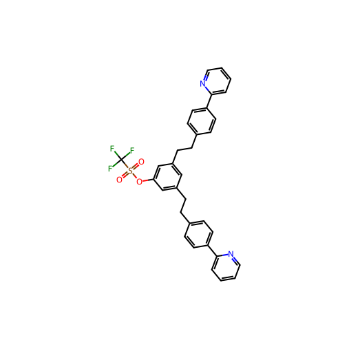 O=S(=O)(Oc1cc(CCc2ccc(-c3ccccn3)cc2)cc(CCc2ccc(-c3ccccn3)cc2)c1)C(F)(F)F